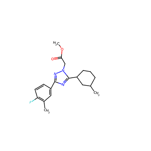 COC(=O)Cn1nc(-c2ccc(F)c(C)c2)nc1C1CCCC(C)C1